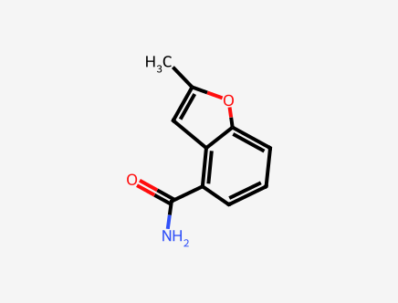 Cc1cc2c(C(N)=O)cccc2o1